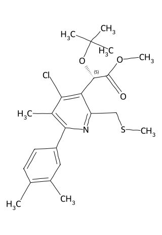 COC(=O)[C@@H](OC(C)(C)C)c1c(CSC)nc(-c2ccc(C)c(C)c2)c(C)c1Cl